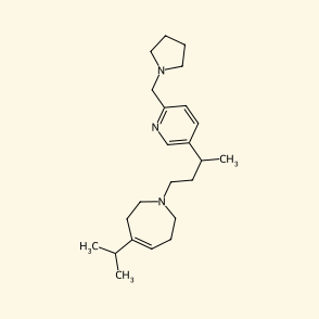 CC(C)C1=CCCN(CCC(C)c2ccc(CN3CCCC3)nc2)CC1